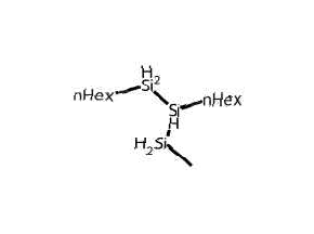 CCCCCC[SiH2][SiH](CCCCCC)[SiH2]C